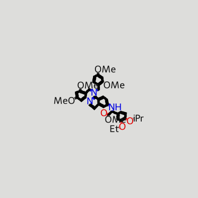 CCOc1cc(C(Nc2ccc3c(N(Cc4ccc(OC)cc4OC)Cc4ccc(OC)cc4OC)nccc3c2)C(=O)OC)ccc1OC(C)C